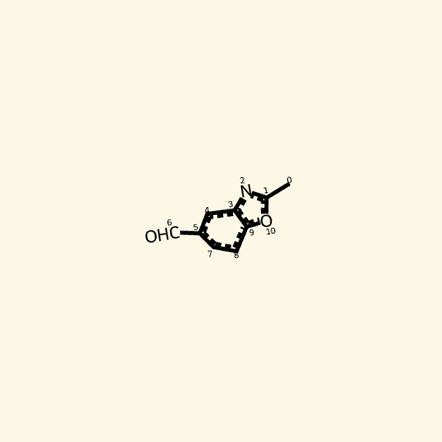 Cc1nc2cc(C=O)ccc2o1